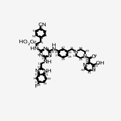 N#Cc1ccc(C[C@H](Nc2nc(NCc3nc4cc(F)ccc4[nH]3)nc(Nc3cccc(CN4CCN(C(=O)c5nccnc5O)CC4)c3)n2)C(=O)O)cc1